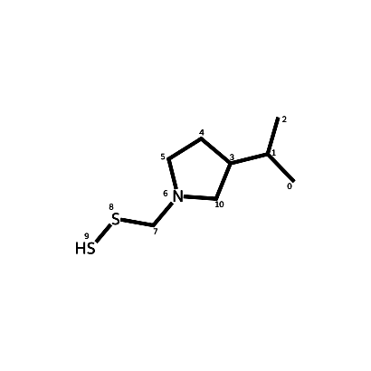 CC(C)C1CCN(CSS)C1